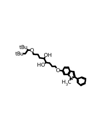 Cn1c(-c2ccccc2)cc2ccc(OCCCC(O)C(O)CCCOC(CC(C)(C)C)C(C)(C)C)cc21